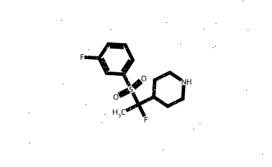 CC(F)(C1CCNCC1)S(=O)(=O)c1cccc(F)c1